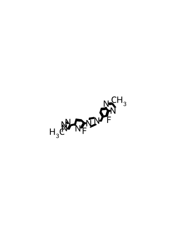 Cc1cnc2c(F)c(CN3CCN(c4ccc(-c5cn(C)nn5)nc4F)CC3)ccc2n1